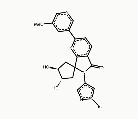 CCn1cc(N2C(=O)c3ccc(-c4cncc(OC)c4)nc3C23C[C@H](O)[C@@H](O)C3)cn1